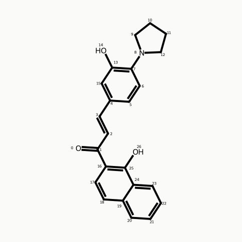 O=C(C=Cc1ccc(N2CCCC2)c(O)c1)c1ccc2ccccc2c1O